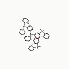 CC1(C)c2ccccc2-c2ccc(N(c3ccc4c(c3)C(C)(C3=CC=CCC3)c3ccccc3-4)c3ccccc3-c3cccc4c3-c3ccccc3C4(C)C)cc21